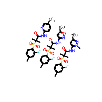 Cc1ccc(S(=O)(=O)C(C)(C)C(=O)Nc2cc(C(C)(C)C)nn2C)c(F)c1.Cc1ccc(S(=O)(=O)C(C)(C)C(=O)Nc2cc(C(C)(C)C)on2)c(F)c1.Cc1ccc(S(=O)(=O)C(C)(C)C(=O)Nc2ccc(C(F)(F)F)cn2)c(F)c1